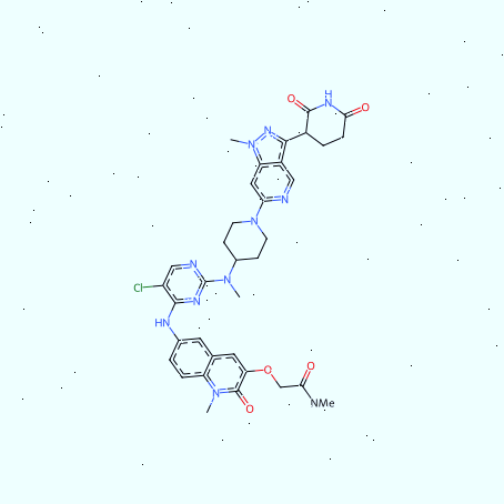 CNC(=O)COc1cc2cc(Nc3nc(N(C)C4CCN(c5cc6c(cn5)c(C5CCC(=O)NC5=O)nn6C)CC4)ncc3Cl)ccc2n(C)c1=O